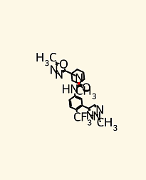 Cc1nnc(C23CC(C)CC(C2)N3C(=O)Nc2ccc(C(F)(F)F)c(-c3cnn(C)n3)c2)o1